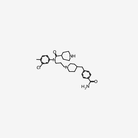 Cc1ccc(N(CCCN2CCC(Cc3ccc(C(N)=O)cc3)CC2)C(=O)C2CCNCC2)cc1Cl